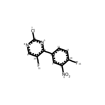 O=[N+]([O-])c1cc(-c2nc(Cl)ncc2F)ccc1F